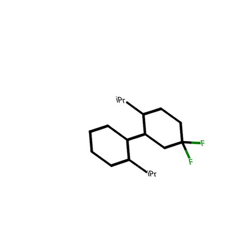 CC(C)C1CCCCC1C1CC(F)(F)CCC1C(C)C